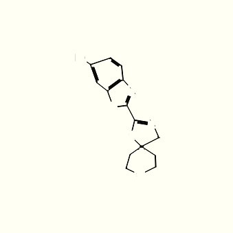 Oc1ccc2nc(C3=NCC4(CCOCC4)S3)sc2c1